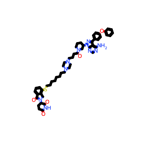 Nc1ncnc2c1c(-c1ccc(Oc3ccccc3)cc1)nn2C1CCCN(C(=O)CCCN2CCN(CCCCCCCCSc3cccc4c3CN(C3CCC(=O)NC3=O)C4=O)CC2)C1